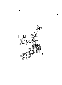 CC(=O)O.CN(C)CCN.CN(C)CCNCC(=O)N1CC(n2nc(-c3ccc(Oc4ccccc4)cc3)c3c(N)ncnc32)C1